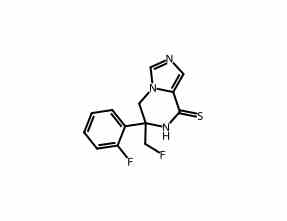 FCC1(c2ccccc2F)Cn2cncc2C(=S)N1